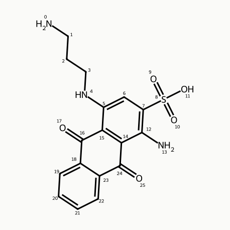 NCCCNc1cc(S(=O)(=O)O)c(N)c2c1C(=O)c1ccccc1C2=O